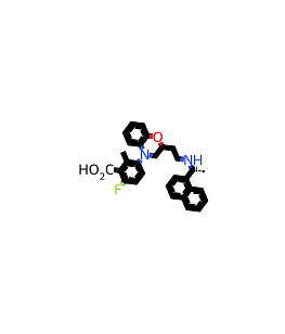 Cc1c(N2CC(CCN[C@H](C)c3cccc4ccccc34)Oc3ccccc32)ccc(F)c1C(=O)O